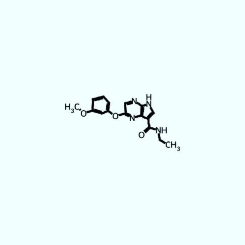 CCNC(=O)c1c[nH]c2ncc(Oc3cccc(OC)c3)nc12